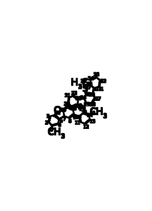 Cc1ccc2c(c1)C1C=C(c3cccc(C)c3N3c4ccccc4C4C5=C(C=CC43)C3C=CC=CC3(C)S5)C=CC1O2